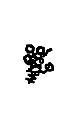 C=CCOC(=O)C(N1C(=O)[C@H]([C@@H](C)O[Si](C)(C)C(C)(C)C)[C@H]1SC(=O)CC1CCCCO1)=P(c1ccccc1)(c1ccccc1)c1ccccc1